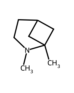 CN1CCC2CC1(C)C2